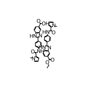 CCOC(=O)c1ccc2[nH]c(-c3ccc(NC(=O)c4cccn4C)cc3)nc2c1.Cn1cccc1C(=O)Nc1ccc(-c2nc3cc(C(=O)O)ccc3[nH]2)cc1